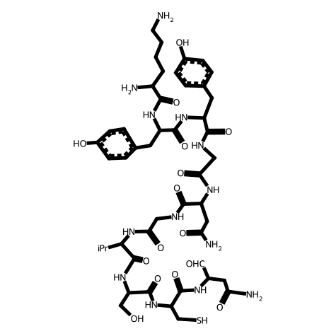 CC(C)C(NC(=O)CNC(=O)C(CC(N)=O)NC(=O)CNC(=O)C(Cc1ccc(O)cc1)NC(=O)C(Cc1ccc(O)cc1)NC(=O)C(N)CCCCN)C(=O)NC(CO)C(=O)NC(CS)C(=O)NC(C=O)CC(N)=O